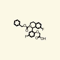 O=C(O)COc1ccc(F)cc1C1c2cc(F)ccc2CCN1C(=O)OCc1ccccc1